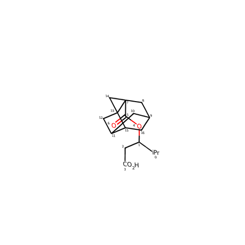 CC(C)C(CC(=O)O)OC(=O)C12CC3CC4CC1(C2)C4C3